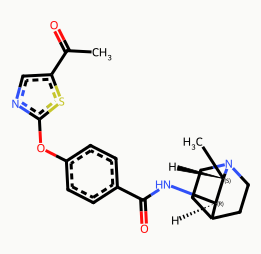 CC(=O)c1cnc(Oc2ccc(C(=O)N[C@@H]3C4CCN(CC4)[C@H]3C)cc2)s1